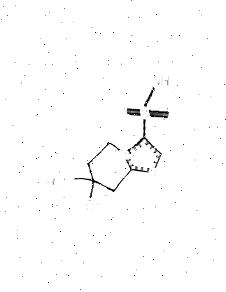 CC1(C)CCn2c(S(N)(=O)=O)cnc2C1